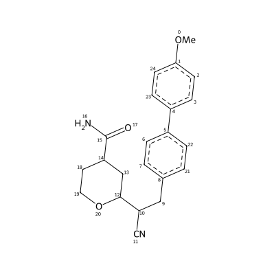 COc1ccc(-c2ccc(CC(C#N)C3CC(C(N)=O)CCO3)cc2)cc1